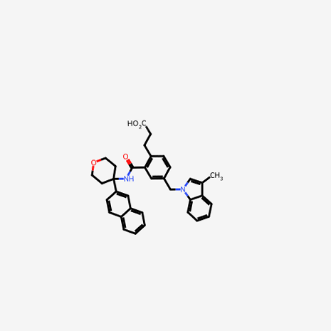 Cc1cn(Cc2ccc(CCC(=O)O)c(C(=O)NC3(c4ccc5ccccc5c4)CCOCC3)c2)c2ccccc12